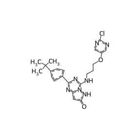 CC(C)(C)c1ccc(-c2nc(NCCCOc3cnc(Cl)nc3)n3[nH]c(=O)cc3n2)cc1